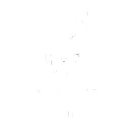 CCc1cc(C)cc(CC)c1C1=C(O)[C@@H]2[C@@H]3O[C@@H](C[C@H]3c3ccc(F)cc3F)[C@@H]2C1=O